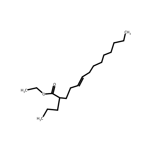 CCCCCCCCC=CCCC(CCC)C(=O)OCC